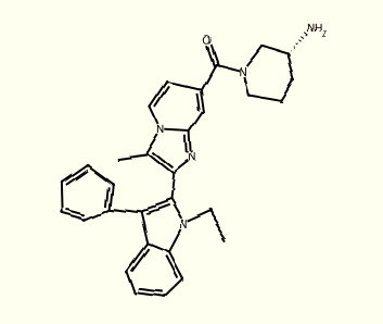 CCn1c(-c2nc3cc(C(=O)N4CCC[C@@H](N)C4)ccn3c2C)c(-c2ccccc2)c2ccccc21